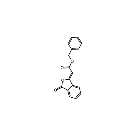 O=C(C=C1OC(=O)c2ccccc21)OCc1ccccc1